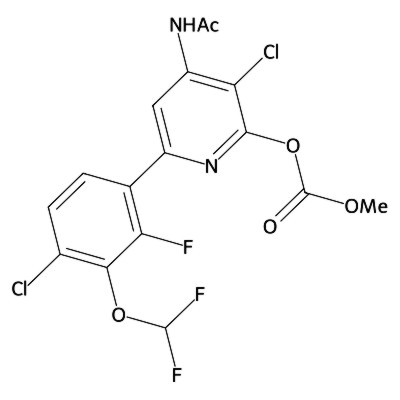 COC(=O)Oc1nc(-c2ccc(Cl)c(OC(F)F)c2F)cc(NC(C)=O)c1Cl